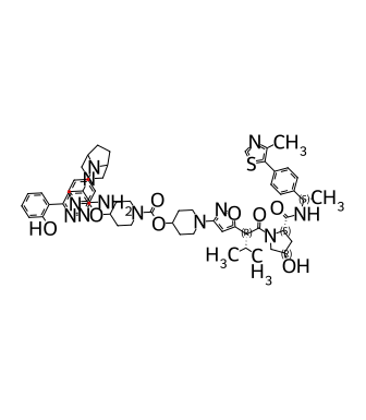 Cc1ncsc1-c1ccc([C@H](C)NC(=O)[C@@H]2C[C@@H](O)CN2C(=O)[C@@H](c2cc(N3CCC(OC(=O)N4CCC(Oc5cc(N6C7CCC6CN(c6cc(-c8ccccc8O)nnc6N)C7)ccn5)CC4)CC3)no2)C(C)C)cc1